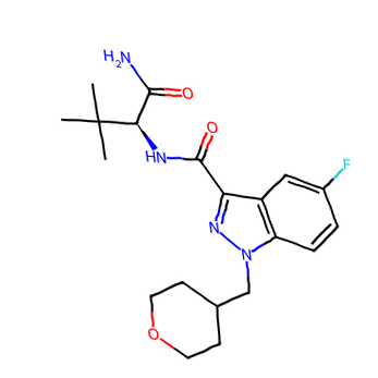 CC(C)(C)[C@H](NC(=O)c1nn(CC2CCOCC2)c2ccc(F)cc12)C(N)=O